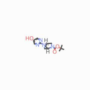 CC(C)(C)OC(=O)N1C[C@H]2C[C@@H]1CN2c1ncc(O)cn1